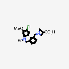 CCN(Cc1cccc(CN2CC(C(=O)O)C2)c1)c1ccc(Cl)c(OC)c1